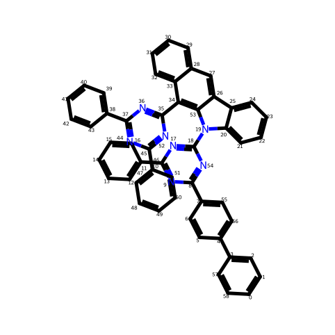 c1ccc(-c2ccc(-c3nc(-c4ccccc4)nc(-n4c5ccccc5c5cc6ccccc6c(-c6nc(-c7ccccc7)nc(-c7ccccc7)n6)c54)n3)cc2)cc1